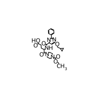 CCOC(=O)N1CCN(C(=O)C(CCC(=O)O)NC(=O)c2cc(OCC3CC3)nc(-c3ccccc3)n2)CC1